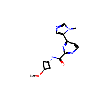 CCO[C@H]1C[C@H](NC(=O)c2nccc(-c3cncn3C)n2)C1